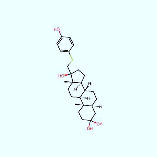 C[C@]12CCC(O)(O)C[C@@H]1CC[C@@H]1[C@@H]2CC[C@@]2(C)[C@H]1CC[C@@]2(O)CSc1ccc(O)cc1